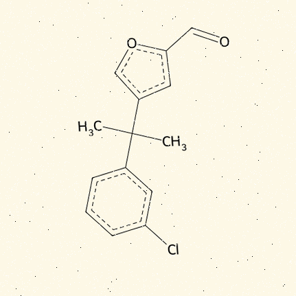 CC(C)(c1cccc(Cl)c1)c1coc(C=O)c1